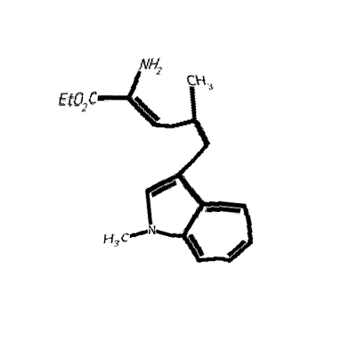 CCOC(=O)C(N)=CC(C)Cc1cn(C)c2ccccc12